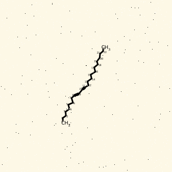 [CH2]CCCCCCCC#CC#CCCCCCCCCCCCC